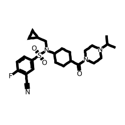 CC(C)N1CCN(C(=O)C2CCC(N(CC3CC3)S(=O)(=O)c3ccc(F)c(C#N)c3)CC2)CC1